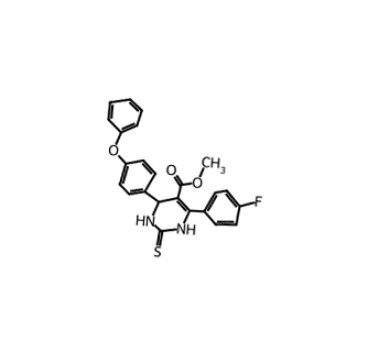 COC(=O)C1=C(c2ccc(F)cc2)NC(=S)NC1c1ccc(Oc2ccccc2)cc1